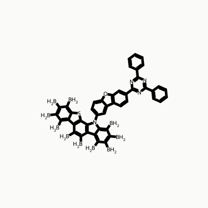 Bc1c(B)c(B)c2c(sc3c2c(B)c(B)c2c4c(B)c(B)c(B)c(B)c4n(-c4ccc5oc6cc(-c7nc(-c8ccccc8)nc(-c8ccccc8)n7)ccc6c5c4)c32)c1B